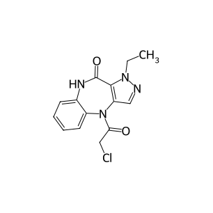 CCn1ncc2c1C(=O)Nc1ccccc1N2C(=O)CCl